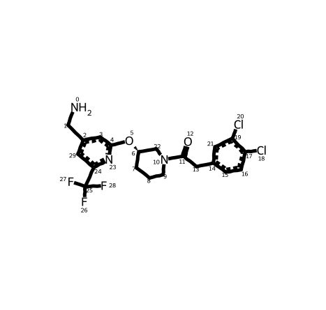 NCc1cc(O[C@H]2CCCN(C(=O)Cc3ccc(Cl)c(Cl)c3)C2)nc(C(F)(F)F)c1